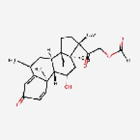 CCC(=O)OCC(=O)[C@@]1(OC(C)=O)CC[C@H]2[C@@H]3CC(C)C4=CC(=O)C=C[C@]4(C)[C@H]3C(O)C[C@@]21C